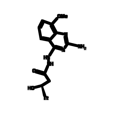 CC[C@@H](O)CC(=O)NNc1nc(N)nc2c(OC)cccc12